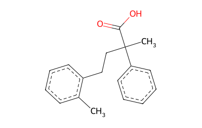 Cc1ccccc1CCC(C)(C(=O)O)c1ccccc1